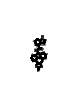 Cc1nc(C)c(-c2cccc3c2-c2ccccc2C3NC(=O)c2ccnc3[nH]ccc23)s1